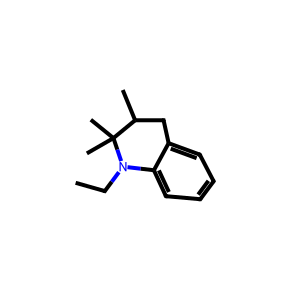 CCN1c2ccccc2CC(C)C1(C)C